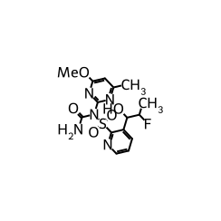 COc1cc(C)nc(N(C(N)=O)S(=O)(=O)c2ncccc2C(O)C(C)F)n1